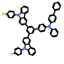 Fc1ccc(-n2c3ccccc3c3cc(-c4cc(-c5ccc(N(c6ccccc6)c6ccc(-c7ccccc7)cc6)cc5)cc(-c5ccc6c(c5)c5ccccc5n6-c5ccc(F)cc5)c4)ccc32)cc1